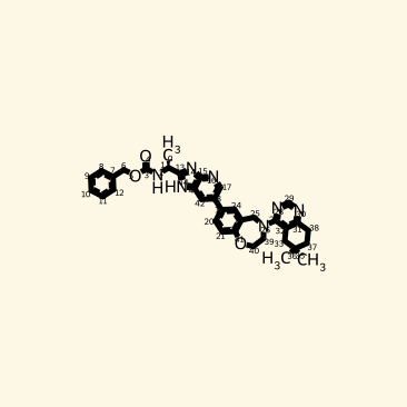 C[C@H](NC(=O)OCc1ccccc1)c1nc2ncc(-c3ccc4c(c3)CN(c3ncnc5c3CC(C)(C)CC5)CCO4)cc2[nH]1